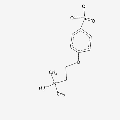 C[N+](C)(C)CCOc1ccc(S(=O)(=O)[O-])cc1